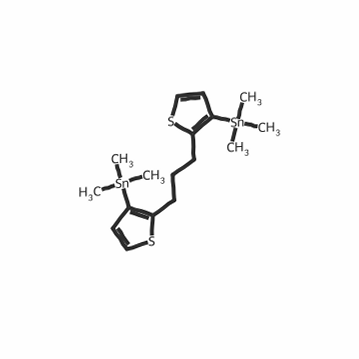 [CH3][Sn]([CH3])([CH3])[c]1ccsc1CCCc1scc[c]1[Sn]([CH3])([CH3])[CH3]